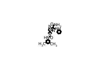 Cc1cc(C)cc(NC(=O)N2CC(CC#N)(n3cc(C(N)=O)c(Nc4ccccc4)n3)C2)c1